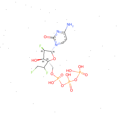 Nc1ccn([C@@H]2O[C@@](COP(=O)(O)OP(=O)(O)OP(=O)(O)O)(C(F)CF)[C@@H](O)[C@H]2F)c(=O)n1